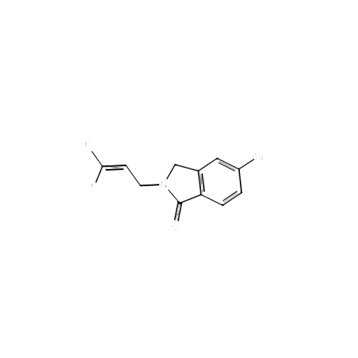 O=C1c2ccc(Br)cc2CN1CC=C(F)F